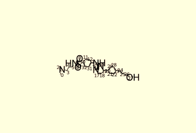 CN(C)CCCNS(=O)(=O)c1ccc(Nc2nccc(-c3ccc(/C=C/CO)cc3)n2)cc1